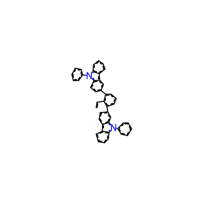 C=Cc1c(-c2ccc3c(c2)c2ccccc2n3-c2ccccc2)cccc1-c1ccc2c3ccccc3n(-c3ccccc3)c2c1